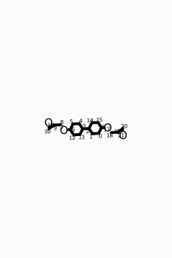 C1CC(C2CCC(OCC3CO3)CC2)CCC1OCC1CO1